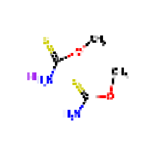 COC(N)=S.COC(N)=S.I